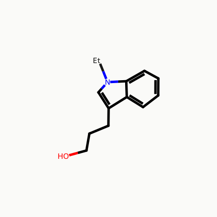 CCn1cc(CCCO)c2ccccc21